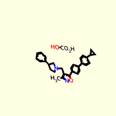 Cc1noc(-c2ccc(-c3ccc(C4CC4)cc3)cc2)c1CN1CCC(c2ccccc2)C1.O=C(O)O